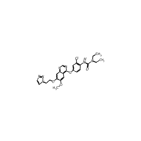 CCN(CC)C(=O)Nc1ccc(Oc2ncnc3cc(OCCn4ccnn4)c(OC)cc23)cc1Cl